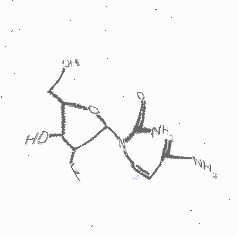 C=C(N)/C=C\N(C(N)=O)C1OC(CO)C(O)C1F